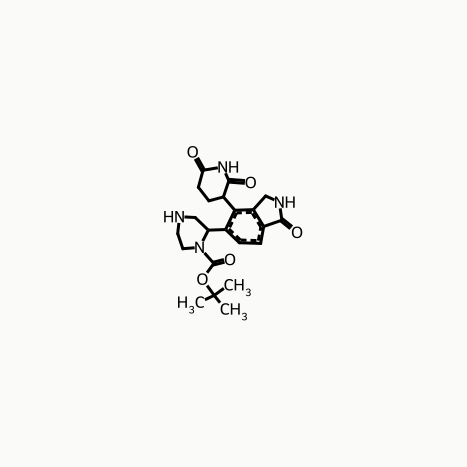 CC(C)(C)OC(=O)N1CCNCC1c1ccc2c(c1C1CCC(=O)NC1=O)CNC2=O